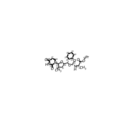 CC(C)OC(=O)[C@H](C)NP(OCC1CC(C)C(n2ccc(=O)[nH]c2=O)O1)Oc1ccccc1